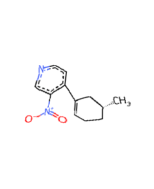 C[C@@H]1CCC=C(c2ccncc2[N+](=O)[O-])C1